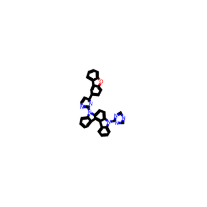 c1ccc2c(c1)oc1ccc(-c3ccnc(-n4c5ccccc5c5c6c7ccccc7n(-c7ncncn7)c6ccc54)n3)cc12